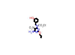 C=CCOc1nc(N)c([N+](=O)[O-])c(N(Cc2cccc(O)c2)C(=O)OCC)n1